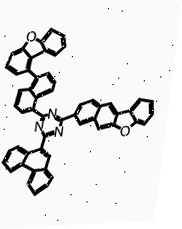 c1ccc2c(c1)cc(-c1nc(-c3ccc4cc5c(cc4c3)oc3ccccc35)nc(-c3cccc4c(-c5cccc6oc7ccccc7c56)cccc34)n1)c1ccccc12